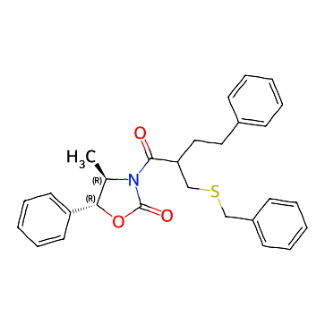 C[C@@H]1[C@@H](c2ccccc2)OC(=O)N1C(=O)C(CCc1ccccc1)CSCc1ccccc1